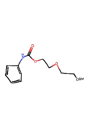 COCCOCCOC(=O)Nc1c[c]ccc1